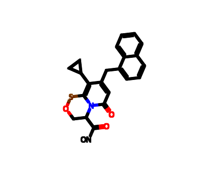 O=NC(=O)C1COSc2c(C3CC3)c(Cc3cccc4ccccc34)cc(=O)n21